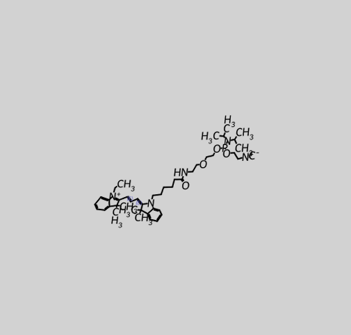 [C-]#[N+]CCOP(OCCOCCNC(=O)CCCCCN1/C(=C/C=C/C2=[N+](CC)c3ccccc3C2(C)C)C(C)(C)c2ccccc21)N(C(C)C)C(C)C